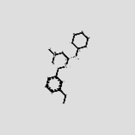 CCc1cccc(CN[C@@H](CC2CCCCC2)CN(C)C)c1